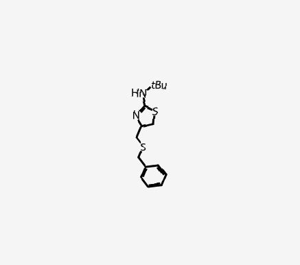 CC(C)(C)NC1=NC(CSCc2ccccc2)CS1